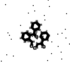 O=C(CCl)c1ccccc1.O=C(c1ccccc1)c1ccccc1CCl